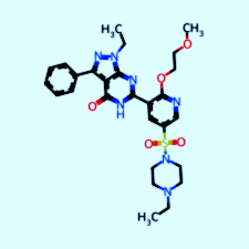 CCN1CCN(S(=O)(=O)c2cnc(OCCOC)c(-c3nc4c(c(-c5ccccc5)nn4CC)c(=O)[nH]3)c2)CC1